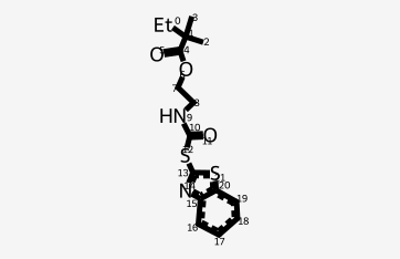 CCC(C)(C)C(=O)OCCNC(=O)Sc1nc2ccccc2s1